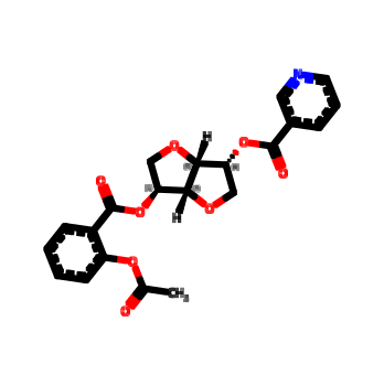 CC(=O)Oc1ccccc1C(=O)O[C@H]1CO[C@H]2[C@@H]1OC[C@H]2OC(=O)c1cccnc1